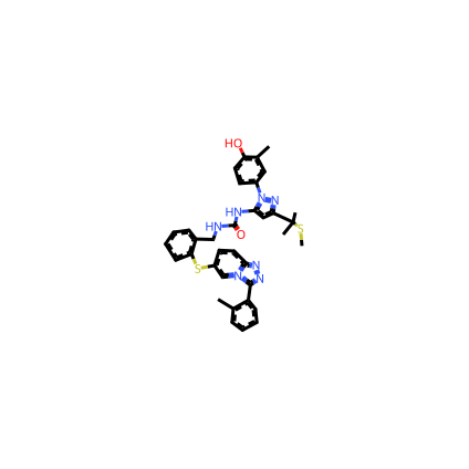 CSC(C)(C)c1cc(NC(=O)NCc2ccccc2Sc2ccc3nnc(-c4ccccc4C)n3c2)n(-c2ccc(O)c(C)c2)n1